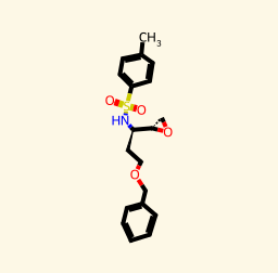 Cc1ccc(S(=O)(=O)N[C@H](CCOCc2ccccc2)[C@@H]2CO2)cc1